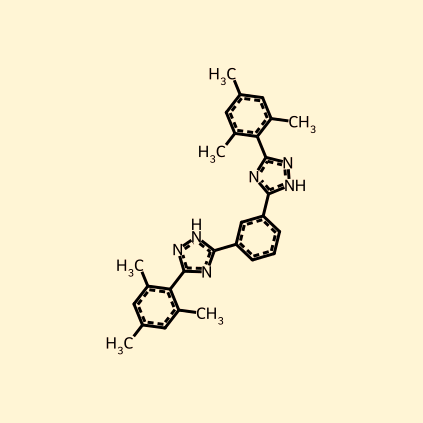 Cc1cc(C)c(-c2n[nH]c(-c3cccc(-c4nc(-c5c(C)cc(C)cc5C)n[nH]4)c3)n2)c(C)c1